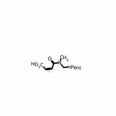 CCCCCCN(C)C(=O)/C=C\C(=O)O